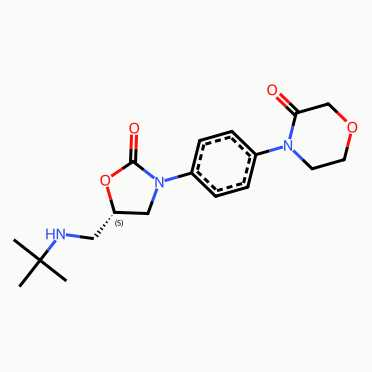 CC(C)(C)NC[C@H]1CN(c2ccc(N3CCOCC3=O)cc2)C(=O)O1